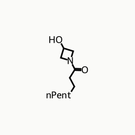 CCCCCCCC(=O)N1CC(O)C1